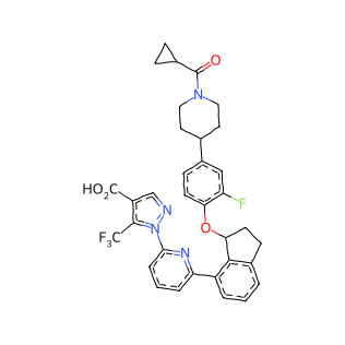 O=C(O)c1cnn(-c2cccc(-c3cccc4c3C(Oc3ccc(C5CCN(C(=O)C6CC6)CC5)cc3F)CC4)n2)c1C(F)(F)F